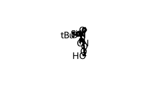 CC(O)COCCOCCn1cc(-c2nn(C3CCCCO3)c3ccc(O[Si](C)(C)C(C)(C)C)cc23)cc1C#N